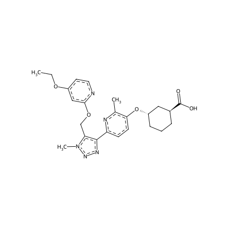 CCOc1ccnc(OCc2c(-c3ccc(O[C@H]4CCC[C@H](C(=O)O)C4)c(C)n3)nnn2C)c1